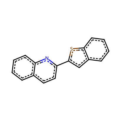 c1ccc2nc(-c3cc4ccccc4s3)ccc2c1